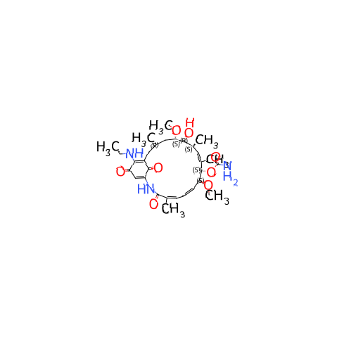 CCNC1=C2C[C@@H](C)C[C@H](OC)[C@H](O)[C@@H](C)C=C(C)[C@H](OC(N)=O)[C@@H](OC)C=CC=C(C)C(=O)NC(=CC1=O)C2=O